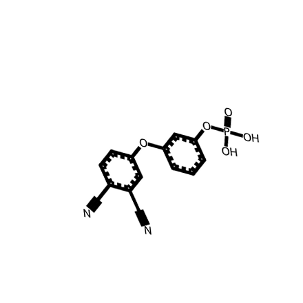 N#Cc1ccc(Oc2cccc(OP(=O)(O)O)c2)cc1C#N